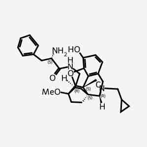 COC12CC[C@@]3(C[C@@H]1CNC(=O)[C@@H](N)Cc1ccccc1)[C@H]1Cc4ccc(O)c5c4[C@@]3(CCN1CC1CC1)C2O5